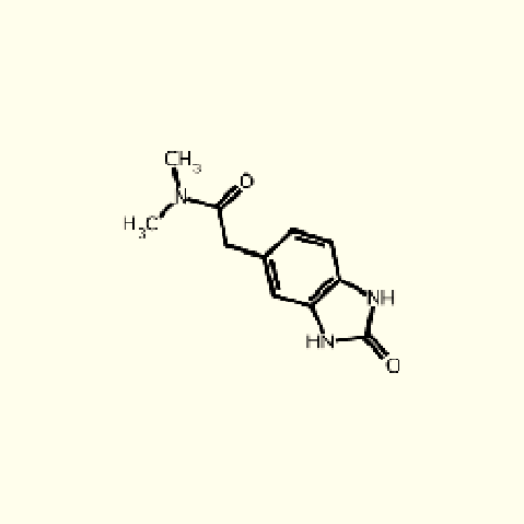 CN(C)C(=O)Cc1ccc2[nH]c(=O)[nH]c2c1